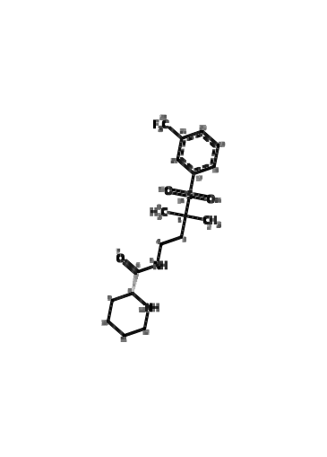 CC(C)(CCNC(=O)[C@H]1CCCCN1)S(=O)(=O)c1cccc(C(F)(F)F)c1